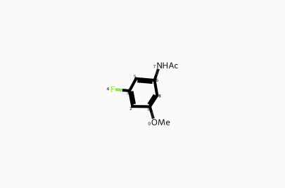 COc1cc(F)cc(NC(C)=O)c1